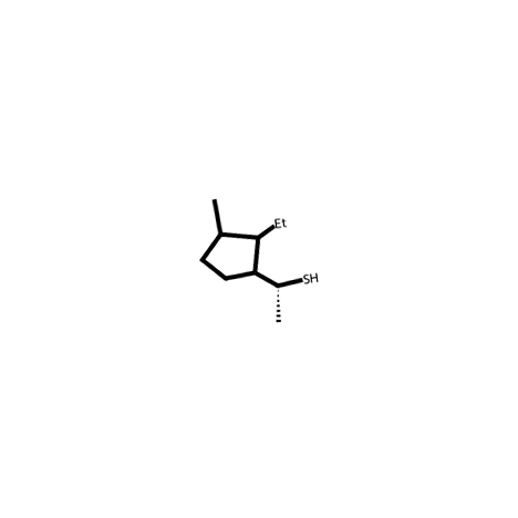 CCC1C(C)CCC1[C@@H](C)S